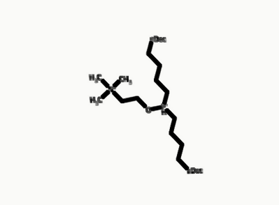 CCCCCCCCCCCCCC[PH-](CCCCCCCCCCCCCC)OCC[N+](C)(C)C